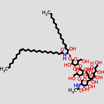 CCCCCCCC/C=C\CCCCCCCCCCCCCC(=O)N[C@@H](CO[C@@H]1OC(CO)[C@@H](O[C@@H]2OC(CO)[C@H](O[C@@H]3OC(CO)[C@H](O)[C@H](O)C3NC(C)=O)[C@H](O[C@]3(C(=O)O)CC(O)[C@@H](O)C([C@H](O)[C@H](O)CO)O3)C2O)[C@H](O)C1O)[C@H](O)/C=C/CCCCCCCCCCCCC